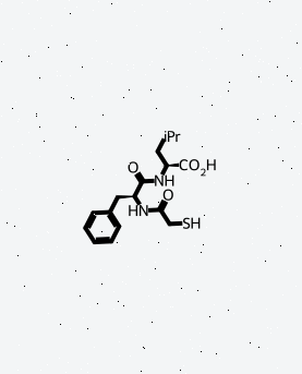 CC(C)C[C@H](NC(=O)[C@H](Cc1ccccc1)NC(=O)CS)C(=O)O